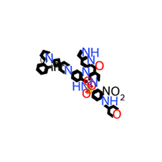 CC(C)c1ccccc1[C@@H]1CCCN1C1CC2(CCN(c3ccc(C(=O)NS(=O)(=O)c4ccc(NCC5CCOCC5)c([N+](=O)[O-])c4)c(-n4c5cnccc5c(=O)c5nc6[nH]ccc6cc54)c3)CC2)C1